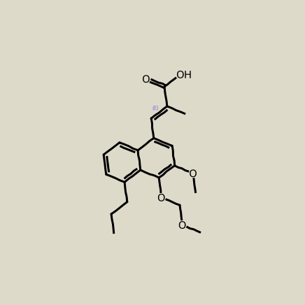 CCCc1cccc2c(/C=C(\C)C(=O)O)cc(OC)c(OCOC)c12